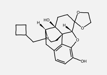 Oc1ccc2c3c1O[C@H]1C4(CC[C@@]5(O)[C@@H](C2)N(CC2CCC2)CC[C@]315)OCCO4